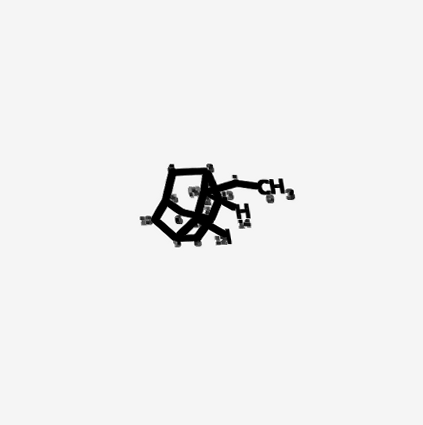 CC[C@H]1C2CC3CC(CC(C3)C1I)C2